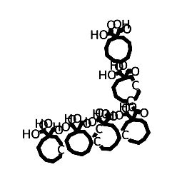 O=C(O)C1(C(=O)O)CCCCCCCCC1.O=C(O)C1(C(=O)O)CCCCCCCCC1.O=C(O)C1(C(=O)O)CCCCCCCCC1.O=C(O)C1(C(=O)O)CCCCCCCCC1.O=C(O)C1(C(=O)O)CCCCCCCCC1.O=C(O)C1(C(=O)O)CCCCCCCCC1